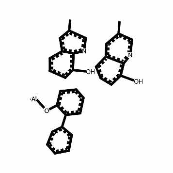 Cc1cnc2c(O)cccc2c1.Cc1cnc2c(O)cccc2c1.[Al][O]c1ccccc1-c1ccccc1